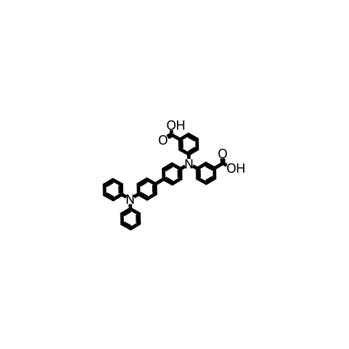 O=C(O)c1cccc(N(c2ccc(-c3ccc(N(c4ccccc4)c4ccccc4)cc3)cc2)c2cccc(C(=O)O)c2)c1